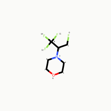 FCC(N1CCOCC1)C(F)(F)F